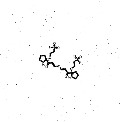 O=C(C=COC=CC(=O)[C@]1(OCCS(=O)(=O)F)CCCN1)[C@]1(OCCS(=O)(=O)F)CCCN1